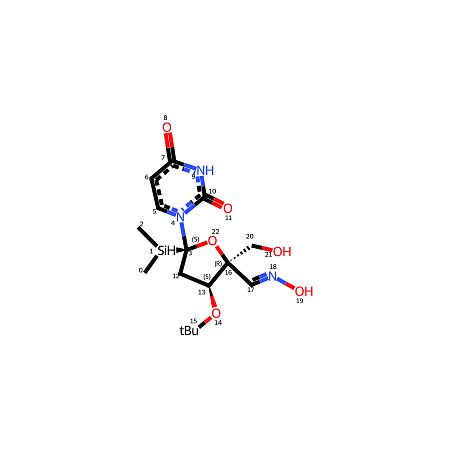 C[SiH](C)[C@]1(n2ccc(=O)[nH]c2=O)C[C@H](OC(C)(C)C)[C@@](C=NO)(CO)O1